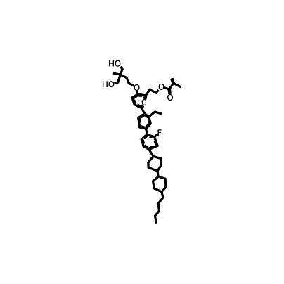 C=C(C)C(=O)OCCc1cc(-c2ccc(-c3ccc(C4CCC(C5CCC(CCCCC)CC5)CC4)cc3F)cc2CC)ccc1OCCC(C)(CO)CO